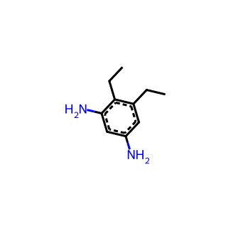 CCc1cc(N)cc(N)c1CC